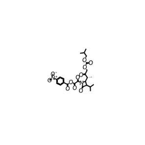 CC(C)COC(=O)OCC(=O)[C@H](C)C1C(C(C)C)C(=O)N1C(=O)C(=O)OC(=O)c1ccc([N+](=O)[O-])cc1